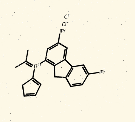 C[C](C)=[Ti+2]([C]1=CC=CC1)[c]1cc(C(C)C)cc2c1Cc1ccc(C(C)C)cc1-2.[Cl-].[Cl-]